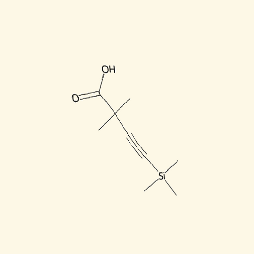 CC(C)(C#C[Si](C)(C)C)C(=O)O